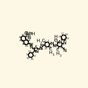 Cc1cc(N=Nc2c(C)c(C#N)c3nc4ccccc4n3c2O)c(C)cc1N=Nc1nc(-c2ccccc2)c(N=Nc2ccc3cccc(S(=O)(=O)O)c3c2)s1